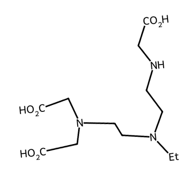 CCN(CCNCC(=O)O)CCN(CC(=O)O)CC(=O)O